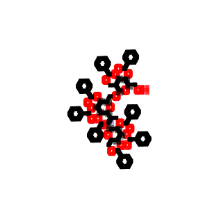 C/C(=C\[C@H]1OC(C)[C@H](OC(=O)c2ccccc2)[C@@H](OC(=O)c2ccccc2)[C@@H]1OC(=O)c1ccccc1)[C@@H]1O[C@H](CO[C@@H]2O[C@H](CO)[C@@H](OC(=O)c3ccccc3)[C@H](OC(=O)c3ccccc3)C2C)[C@@H](OC(=O)c2ccccc2)[C@H](OC(=O)c2ccccc2)[C@H]1OC(=O)c1ccccc1